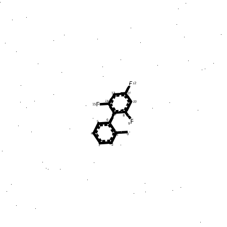 [CH2]c1ccccc1-c1c(F)cc(F)cc1F